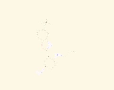 CCCNc1ccc(N)cc1-c1nc2cc(C(F)(F)F)ccc2o1